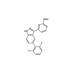 CNc1nccc(-c2n[nH]c3ccc(-c4c(F)cccc4F)cc23)n1